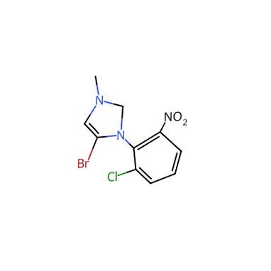 CN1C=C(Br)N(c2c(Cl)cccc2[N+](=O)[O-])C1